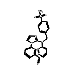 NS(=O)(=O)c1ccc(CN(c2cccnn2)c2nccn2-c2cccc(C=O)c2)cc1